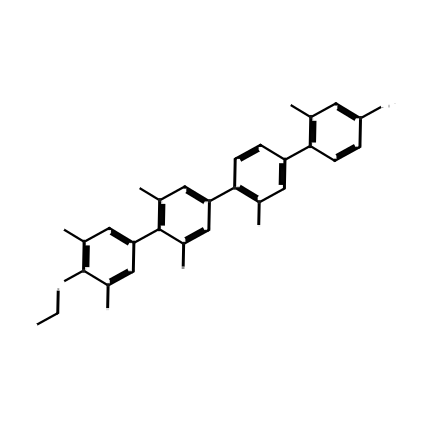 CCCc1ccc(-c2ccc(-c3cc(F)c(-c4cc(F)c(OCF)c(F)c4)c(F)c3)c(F)c2)c(F)c1